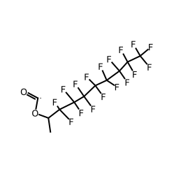 CC(O[C]=O)C(F)(F)C(F)(F)C(F)(F)C(F)(F)C(F)(F)C(F)(F)C(F)(F)C(F)(F)F